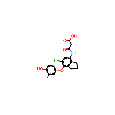 O=C(O)CC(=O)Nc1cc(Cl)c(Oc2ccc(O)c(I)c2)c2c1CCC2